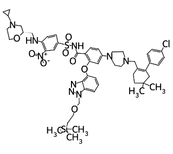 CC1(C)CCC(CN2CCN(c3ccc(C(=O)NS(=O)(=O)c4ccc(NC[C@H]5CN(C6CC6)CCO5)c([N+](=O)[O-])c4)c(Oc4cccc5c4nnn5COCC[Si](C)(C)C)c3)CC2)=C(c2ccc(Cl)cc2)C1